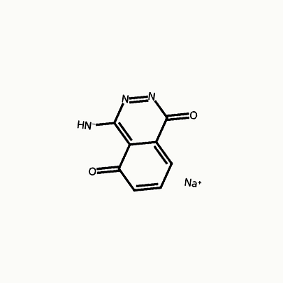 [NH-]C1=C2C(=O)C=CC=C2C(=O)N=N1.[Na+]